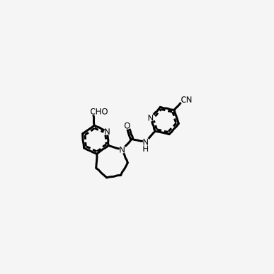 N#Cc1ccc(NC(=O)N2CCCCc3ccc(C=O)nc32)nc1